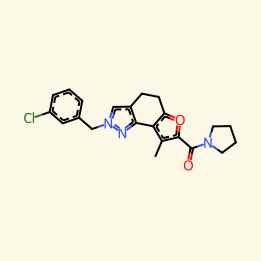 Cc1c(C(=O)N2CCCC2)oc2c1-c1nn(Cc3cccc(Cl)c3)cc1CC2